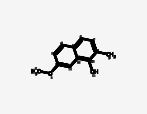 COc1ccc2ccc(C)c(O)c2c1